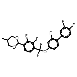 CC1COC(c2ccc(C(F)(F)Oc3ccc(-c4ccc(F)c(F)c4)c(F)c3)c(F)c2F)OC1